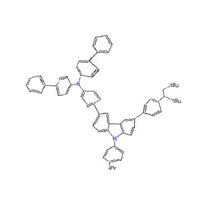 CC(C)c1ccc(-n2c3ccc(-c4ccc(C(CC(C)(C)C)C(C)(C)C)cc4)cc3c3cc(-c4ccc(N(c5ccc(-c6ccccc6)cc5)c5ccc(-c6ccccc6)cc5)cc4)ccc32)cc1